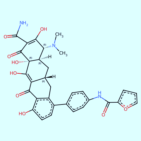 CN(C)[C@H]1C(O)=C(C(N)=O)C(=O)[C@]2(O)C(O)=C3C(=O)c4c(O)ccc(-c5ccc(NC(=O)c6ccco6)cc5)c4C[C@H]3C[C@H]12